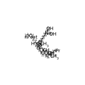 CCCCC/C=C\C/C=C\CCCCCCCC(OC1CCC2(C)C(=CCC3C2CCC2(C)C(C(C)CCCC(C)C)CCC32)C1)O[Si](C)(C)OCCCCCCN(CCO)CCO